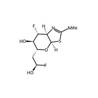 CNC1=N[C@@H]2[C@@H](F)[C@H](O)[C@@H](C[C@H](O)F)O[C@@H]2S1